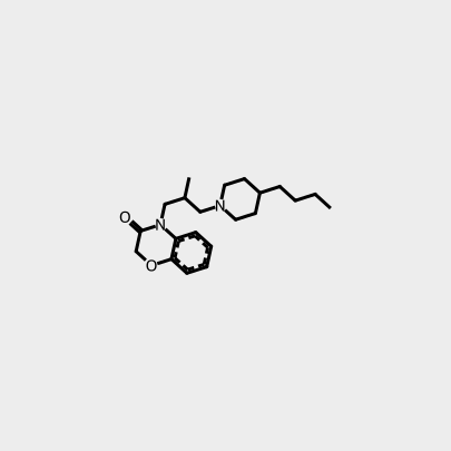 CCCCC1CCN(CC(C)CN2C(=O)COc3ccccc32)CC1